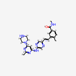 CNC(=O)c1ccc(C)c(/C=C/c2cnc(Nc3cc(N4CCNCC4)nc(C)n3)cn2)c1